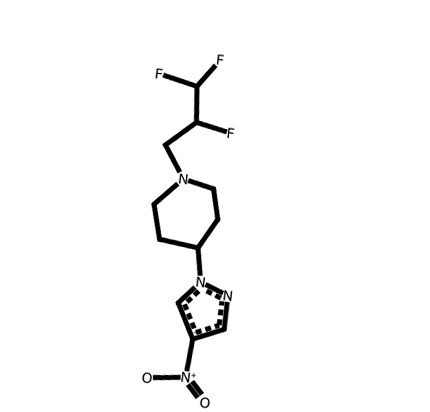 O=[N+]([O-])c1cnn(C2CCN(CC(F)C(F)F)CC2)c1